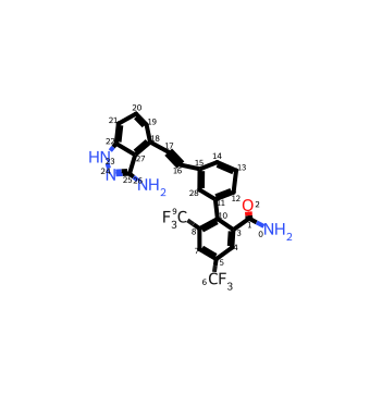 NC(=O)c1cc(C(F)(F)F)cc(C(F)(F)F)c1-c1cccc(C#Cc2cccc3[nH]nc(N)c23)c1